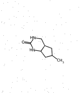 CC1CC2CNC(=O)NC2C1